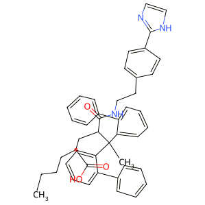 CCCCC(CC(C(=O)NCCc1ccc(-c2ncc[nH]2)cc1)C(C)(c1ccccc1-c1ccccc1)c1ccccc1-c1ccccc1)C(=O)O